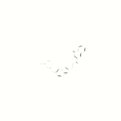 C=C1C=C(C(=O)CCC2=CC3C=C(CC4CCCC(C(C)(C)C)C4)C=CC3=C2)C=C2C=CC=CC12